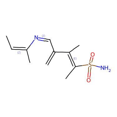 C=C(/C=N\C(C)=C/C)/C(C)=C(\C)S(N)(=O)=O